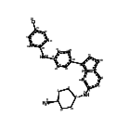 N[C@H]1CC[C@H](Nc2ccc3ncc(-c4cnc(Nc5ncc(Cl)cn5)nc4)n3n2)CC1